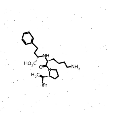 C=C(C(C)C)[C@@H]1CCCN1C(=O)[C@H](CCCCN)N[C@@H](CCc1ccccc1)C(=O)O